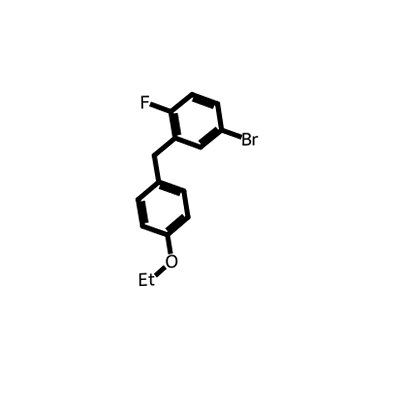 CCOc1ccc(Cc2cc(Br)ccc2F)cc1